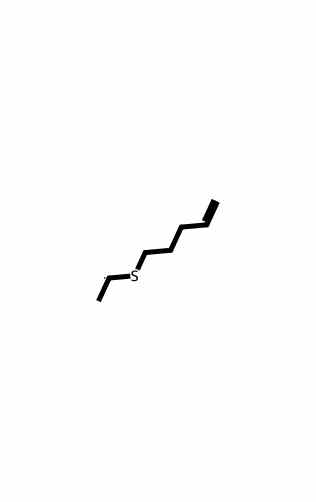 C=CCCCS[CH]C